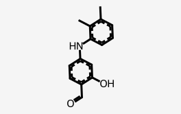 Cc1cccc(Nc2ccc(C=O)c(O)c2)c1C